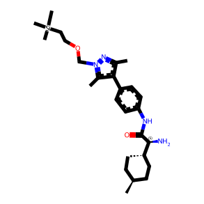 Cc1nn(COCC[Si](C)(C)C)c(C)c1-c1ccc(NC(=O)[C@@H](N)[C@H]2CC[C@H](C)CC2)cc1